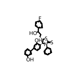 Oc1cccc(-c2ccc([C@@H]3[C@H](CCC(O)c4ccc(F)cc4)SC(=S)N3c3ccccc3)c(O)c2)c1